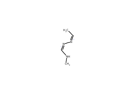 C/C=N\N=C/NC